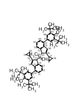 COc1c(C(C)(C)C)cc(-c2cccc3c2C=C(C2CC2)C3[Si](C)(C)C2C(C3CC3)=Cc3c(-c4cc(C(C)(C)C)c(OC)c(C(C)(C)C)c4)cccc32)cc1C(C)(C)C